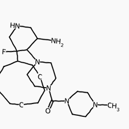 CN1CCN(C(=O)N2CCN(C3C(N)CNCC3(F)C3CCCCCCCCC3)CC2)CC1